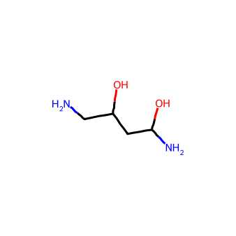 NCC(O)CC(N)O